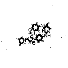 Cc1cnc(Nc2ccc(S(=O)(=O)CCN3CCCC3)cc2)nc1Nc1ccc2c(c1)OCO2